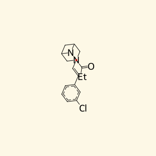 CCC(=O)N1CC2CC(C1)N2C/C=C/c1cccc(Cl)c1